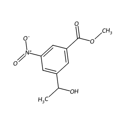 COC(=O)c1cc(C(C)O)cc([N+](=O)[O-])c1